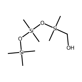 C[Si](C)(C)O[Si](C)(C)O[Si](C)(C)CO